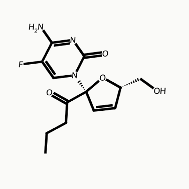 CCCC(=O)[C@]1(n2cc(F)c(N)nc2=O)C=C[C@@H](CO)O1